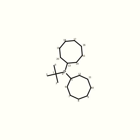 CC(C)(C)P(C1CCCCCCC1)C1CCCCCCC1